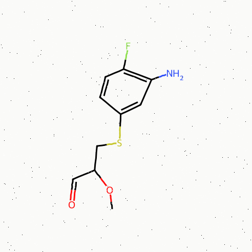 COC(C=O)CSc1ccc(F)c(N)c1